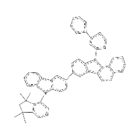 CC1(C)CC(C)(C)c2c(-n3c4ccccc4c4cc(-c5ccc6c(c5)c5ccc7ccccc7c5n6-c5cccc(-c6ccccc6)c5)ccc43)cccc21